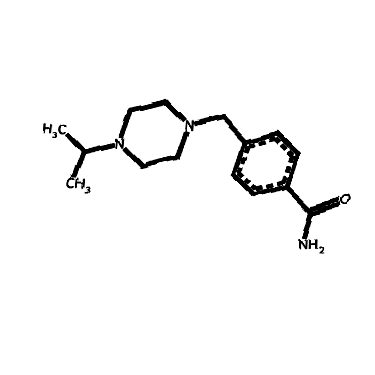 CC(C)N1CCN(Cc2ccc(C(N)=O)cc2)CC1